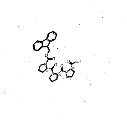 O=C(O)[C@@H]1CCCN1C(=O)[C@@H]1CCCN1C(=O)[C@@H]1CCCN1C(=O)OCC1c2ccccc2-c2ccccc21